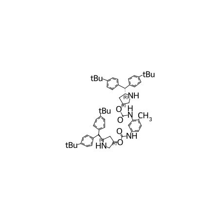 Cc1ccc(NC(=O)O[C@H]2CN[C@@H](C(c3ccc(C(C)(C)C)cc3)c3ccc(C(C)(C)C)cc3)C2)cc1NC(=O)O[C@H]1CN[C@@H](C(c2ccc(C(C)(C)C)cc2)c2ccc(C(C)(C)C)cc2)C1